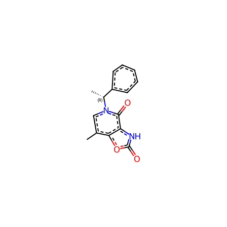 Cc1cn([C@H](C)c2ccccc2)c(=O)c2[nH]c(=O)oc12